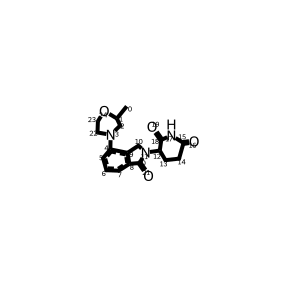 CC1CN(c2cccc3c2CN(C2CCC(=O)NC2=O)C3=O)CCO1